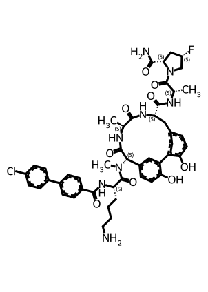 C[C@@H]1NC(=O)[C@@H](N(C)C(=O)[C@H](CCCCN)NC(=O)c2ccc(-c3ccc(Cl)cc3)cc2)c2ccc(O)c(c2)-c2cc(ccc2O)C[C@@H](C(=O)N[C@@H](C)C(=O)N2C[C@@H](F)C[C@H]2C(N)=O)NC1=O